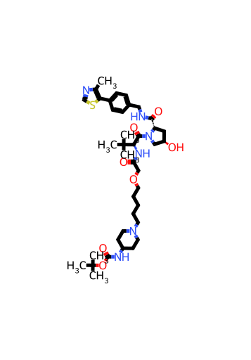 Cc1ncsc1-c1ccc(CNC(=O)[C@@H]2C[C@@H](O)CN2C(=O)[C@@H](NC(=O)COCCCCCN2CCC(NC(=O)OC(C)(C)C)CC2)C(C)(C)C)cc1